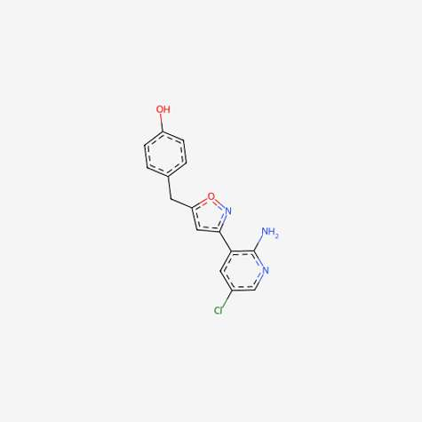 Nc1ncc(Cl)cc1-c1cc(Cc2ccc(O)cc2)on1